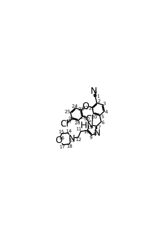 N#Cc1ccc(Cc2ncc(CCN3CCOCC3)[nH]2)cc1Oc1ccc(Cl)cc1Cl